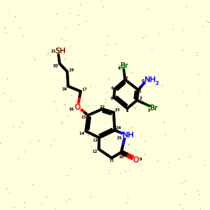 Nc1c(Br)cccc1Br.O=C1CCc2cc(OCCCCS)ccc2N1